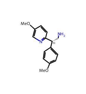 COc1ccc([C@@H](CN)c2ccc(OC)cn2)cc1